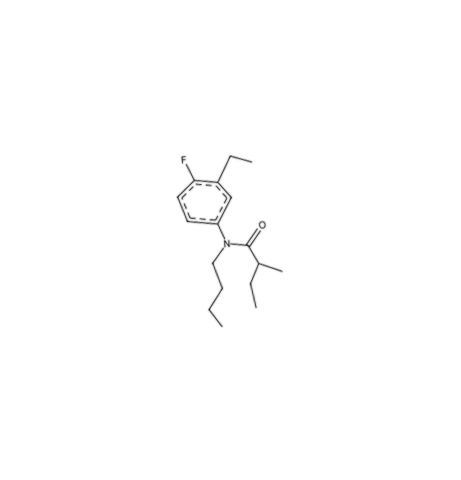 CCCCN(C(=O)C(C)CC)c1ccc(F)c(CC)c1